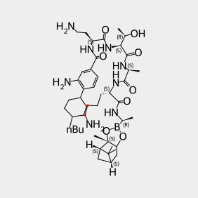 CCCCC1CCC(c2ccc(C(=O)N[C@@H](CCN)C(=O)N[C@H](C(=O)N[C@@H](C)C(=O)N[C@@H](CCCCN)C(=O)N[C@@H](C)B3OC4C[C@@H]5C[C@@H](C5(C)C)[C@]4(C)O3)[C@@H](C)O)cc2N)CC1